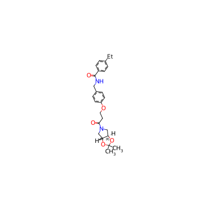 CCc1ccc(C(=O)NCc2ccc(OCCC(=O)N3C[C@H]4OC(C)(C)O[C@@H]4C3)cc2)cc1